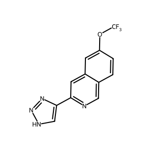 FC(F)(F)Oc1ccc2cnc(-c3c[nH]nn3)cc2c1